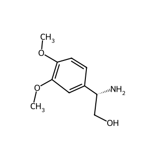 COc1ccc([C@H](N)CO)cc1OC